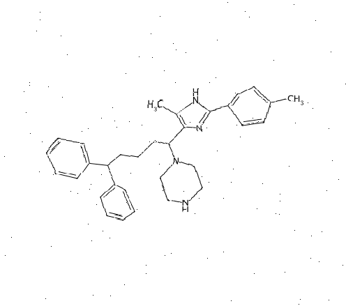 Cc1ccc(-c2nc(C(CCCC(c3ccccc3)c3ccccc3)N3CCNCC3)c(C)[nH]2)cc1